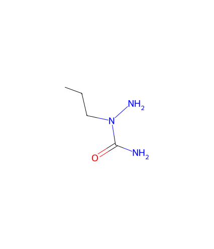 CCCN(N)C(N)=O